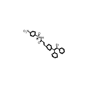 CCC(=C(c1ccccc1)c1ccc(C=CC(=O)NS(=O)(=O)c2ccc([N+](=O)[O-])cc2)cc1)c1ccccc1